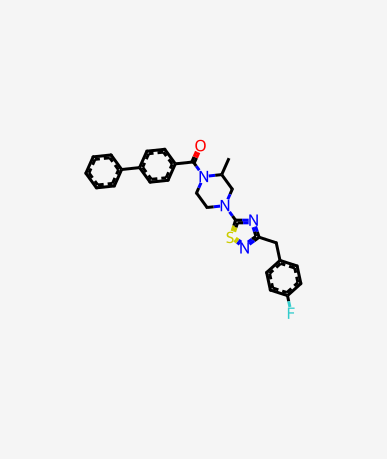 CC1CN(c2nc(Cc3ccc(F)cc3)ns2)CCN1C(=O)c1ccc(-c2ccccc2)cc1